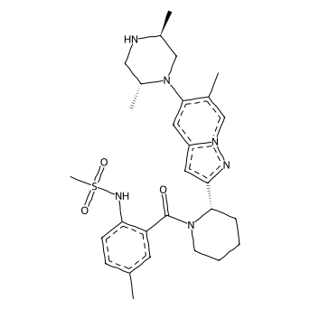 Cc1ccc(NS(C)(=O)=O)c(C(=O)N2CCCC[C@H]2c2cc3cc(N4C[C@H](C)NC[C@H]4C)c(C)cn3n2)c1